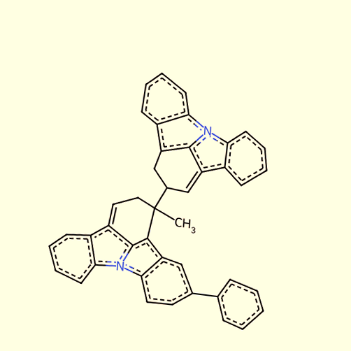 CC1(C2C=c3c4ccccc4n4c3c(c3ccccc34)C2)CC=c2c3ccccc3n3c2c1c1cc(-c2ccccc2)ccc13